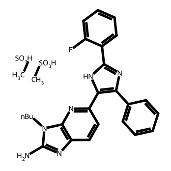 CCCCn1c(N)nc2ccc(-c3[nH]c(-c4ccccc4F)nc3-c3ccccc3)nc21.CS(=O)(=O)O.CS(=O)(=O)O